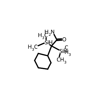 C[SiH](C)C(C(N)=O)(C1CCCCC1)[SiH](C)C